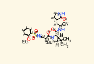 CCOc1ccccc1S(=O)(=O)[N+]#CC(C(=O)N1C[C@H]2[C@@H]([C@H]1C(=O)N[C@H](C#N)C[C@@H]1CCNC1=O)C2(C)C)C(C)(C)C